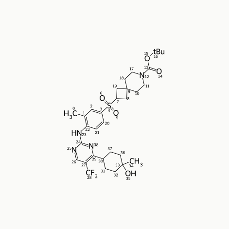 Cc1cc(S(=O)(=O)C2CC3(CCN(C(=O)OC(C)(C)C)CC3)C2)ccc1Nc1ncc(C(F)(F)F)c(C2CCC(C)(O)CC2)n1